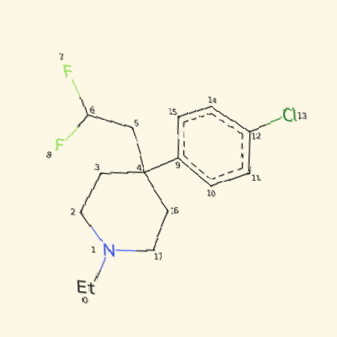 CCN1CCC(CC(F)F)(c2ccc(Cl)cc2)CC1